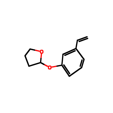 C=Cc1cccc(OC2CCCO2)c1